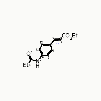 CCOC(=O)/C=C/c1ccc(NC(=O)CC)cc1